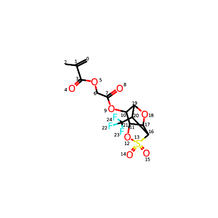 C=C(C)C(=O)OCC(=O)OC1C2OS(=O)(=O)C3C2OC1C3C(F)(F)F